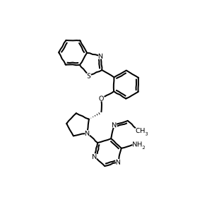 C/C=N\c1c(N)ncnc1N1CCC[C@@H]1COc1ccccc1-c1nc2ccccc2s1